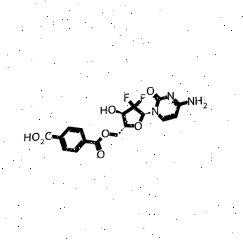 Nc1ccn([C@@H]2O[C@H](COC(=O)c3ccc(C(=O)O)cc3)[C@@H](O)C2(F)F)c(=O)n1